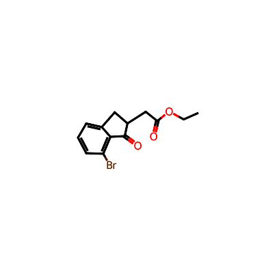 CCOC(=O)CC1Cc2cccc(Br)c2C1=O